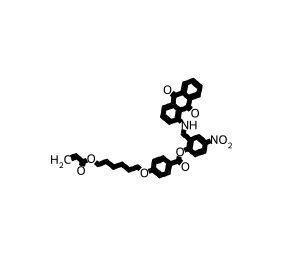 C=CC(=O)OCCCCCCOc1ccc(C(=O)Oc2ccc([N+](=O)[O-])cc2CNc2cccc3c2C(=O)c2ccccc2C3=O)cc1